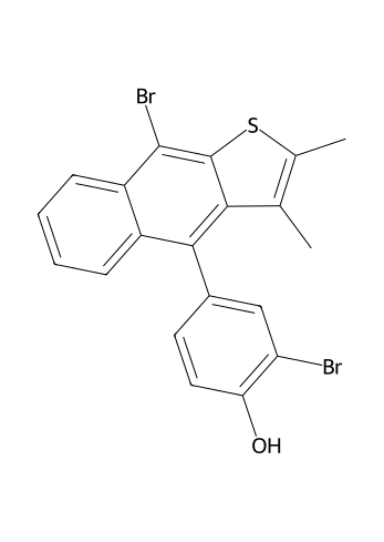 Cc1sc2c(Br)c3ccccc3c(-c3ccc(O)c(Br)c3)c2c1C